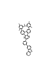 Cc1cc(C)c2c(c1)C(C)c1cc(C)cc(C)c1-c1ccc3c(c1)c1cc-2ccc1c1ncc(-c2cccc(-c4ccc5sc6c(c5c4)C=CCC6)c2)nc31